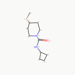 CSC1CCN(C(=O)NC2CCC2)CC1